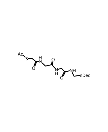 CCCCCCCCCCCNC(=O)CNC(=O)CNC(=O)CSC(C)=O